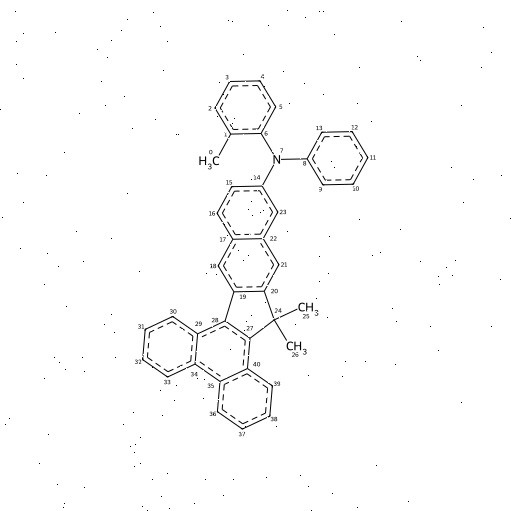 Cc1ccccc1N(c1ccccc1)c1ccc2cc3c(cc2c1)C(C)(C)c1c-3c2ccccc2c2ccccc12